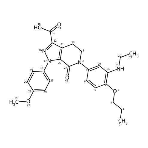 CCCOc1ccc(N2CCc3c(C(=O)O)nn(-c4ccc(OC)cc4)c3C2=O)cc1NCC